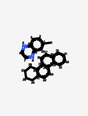 Cc1ccc2nccnc2c1.c1ccc2c(c1)ccc1c3c(ccc12)CCCC3